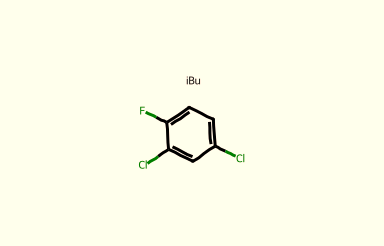 CC[C@H](C)c1cc(Cl)cc(Cl)c1F